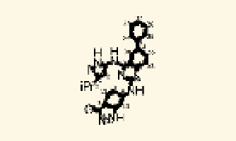 CC(C)c1cc(Nc2nc(Nc3ccc4c(c3)N[N]C4=O)nc3ccc(-c4ccccc4)cc23)[nH]n1